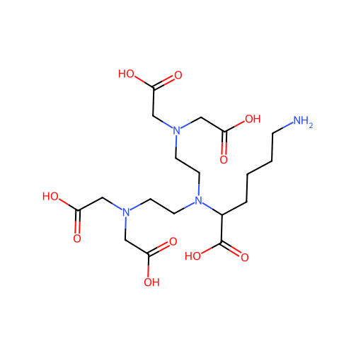 NCCCCC(C(=O)O)N(CCN(CC(=O)O)CC(=O)O)CCN(CC(=O)O)CC(=O)O